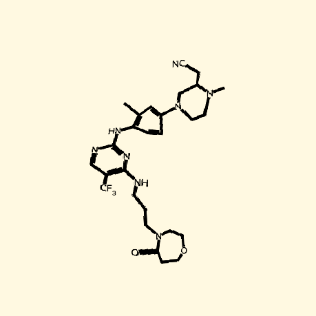 Cc1cc(N2CCN(C)[C@H](CC#N)C2)ccc1Nc1ncc(C(F)(F)F)c(NCCCN2CCOCCC2=O)n1